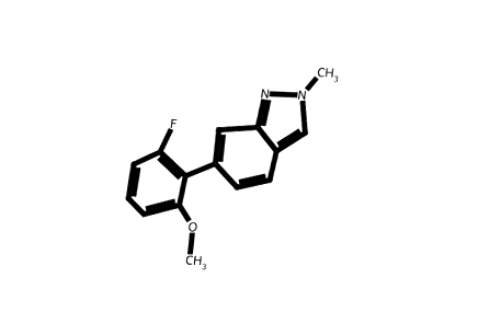 COc1cccc(F)c1-c1ccc2cn(C)nc2c1